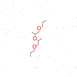 CCCOCC(C)OC(C)COCCC